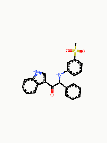 CS(=O)(=O)c1cccc(NC(C(=O)c2c[nH]c3ccccc23)c2ccccc2)c1